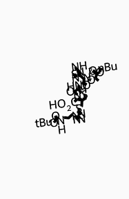 CCCCOC(=O)C(C)O/N=C(\C(=O)NC1C(=O)N2C(C(=O)O)=C(CSc3nnnn3CCCNC(=O)OC(C)(C)C)CS[C@H]12)c1nsc(N)n1